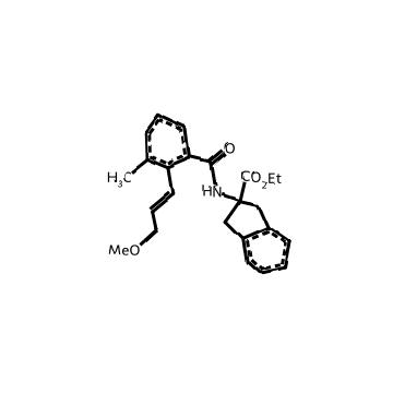 CCOC(=O)C1(NC(=O)c2cccc(C)c2C=CCOC)Cc2ccccc2C1